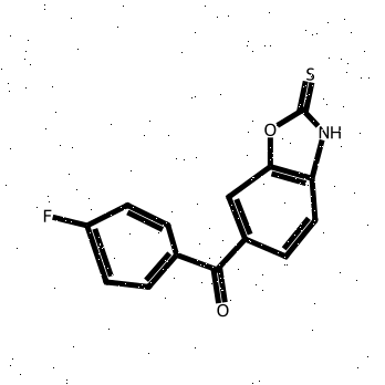 O=C(c1ccc(F)cc1)c1ccc2[nH]c(=S)oc2c1